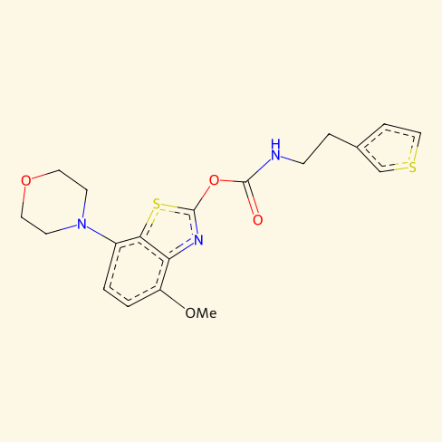 COc1ccc(N2CCOCC2)c2sc(OC(=O)NCCc3ccsc3)nc12